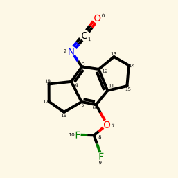 O=C=Nc1c2c(c(OC(F)F)c3c1CCC3)CCC2